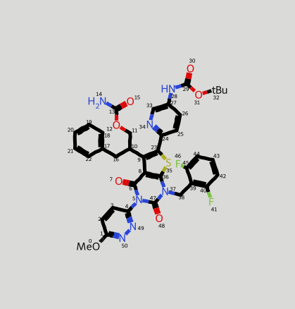 COc1ccc(-n2c(=O)c3c(C(COC(N)=O)Cc4ccccc4)c(-c4ccc(NC(=O)OC(C)(C)C)cn4)sc3n(Cc3c(F)cccc3F)c2=O)nn1